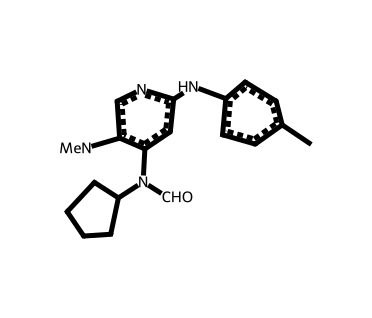 CNc1cnc(Nc2ccc(C)cc2)cc1N(C=O)C1CCCC1